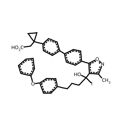 Cc1noc(-c2ccc(-c3ccc(C4(CC(=O)O)CC4)cc3)cc2)c1C(O)(I)CCCc1ccc(Oc2ccccc2)cc1